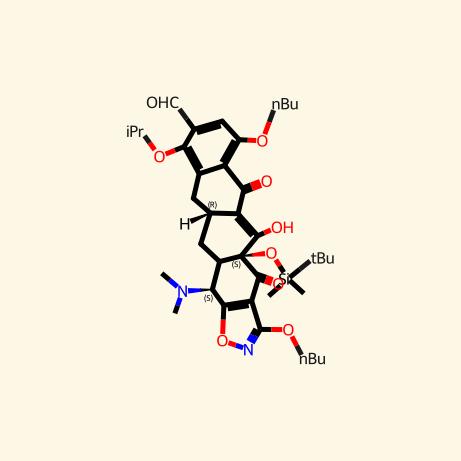 CCCCOc1cc(C=O)c(OC(C)C)c2c1C(=O)C1=C(O)[C@]3(O[Si](C)(C)C(C)(C)C)C(=O)c4c(OCCCC)noc4[C@@H](N(C)C)C3C[C@@H]1C2